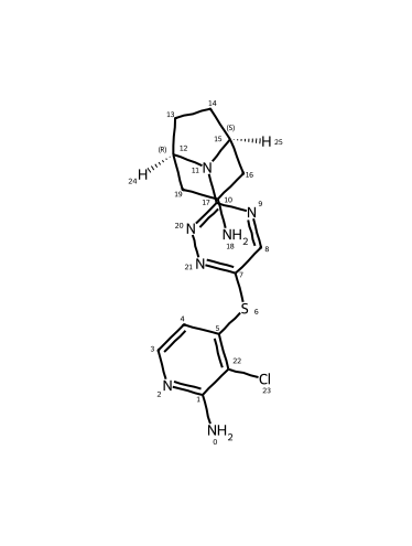 Nc1nccc(Sc2cnc(N3[C@@H]4CC[C@H]3CC(N)C4)nn2)c1Cl